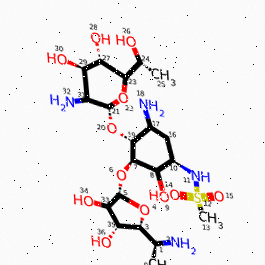 C[C@H](N)[C@H]1O[C@@H](O[C@@H]2C(O)[C@H](NS(C)(=O)=O)CC(N)[C@H]2O[C@H]2OC([C@@H](C)O)[C@@H](O)[C@H](O)C2N)C(O)[C@H]1O